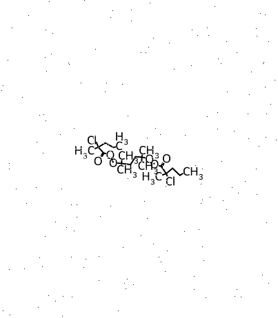 CCCC(C)(Cl)C(=O)OOC(C)(C)CCC(C)(C)OOC(=O)C(C)(Cl)CCC